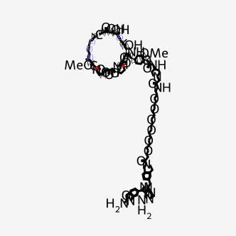 CO[C@H]1C[C@@H]2CC[C@@H](C)[C@@](O)(O2)C(=O)C(=O)N2CCCC[C@H]2C(=O)O[C@H]([C@H](N)C[C@@H]2CC[C@@H](OC(=O)NC3CCN(CC(=O)NCCOCCOCCOCCOCCOCCOCCC(=O)N4CCc5cc(Cn6nc(-c7ccc8oc(N)nc8c7)c7c(N)ncnc76)ccc5C4)CC3)[C@H](OC)C2)C[C@@H](O)[C@H](C)/C=C(\C)[C@@H](O)[C@@H](O)C(=O)[C@H](C)C[C@H](C)/C=C/C=C/C=C/1C